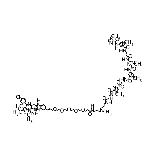 CC(=N)N1C(=N)[C@H](CC(=O)Nc2ccc(/C=C/COCCOCCOCCOCCOCCC(=O)NCCCN(C)CCCNC(=O)CCNC(=O)c3nc(NC(=O)CCNC(=O)c4cc(NC(=O)c5nc(NC(=O)CCNC(=O)c6cc(NC(=O)c7nccn7C)cn6C)cn5C)cn4C)cn3C)cc2)N=C(c2ccc(Cl)cc2)c2c1sc(C)c2C